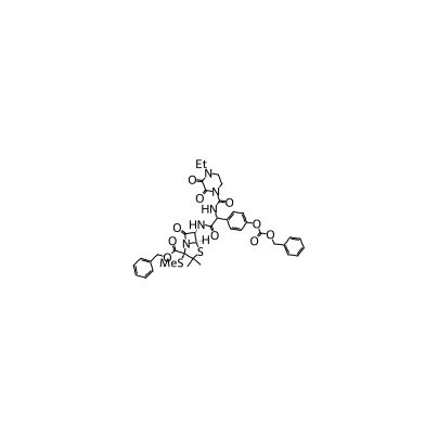 CCN1CCN(C(=O)NC(C(=O)N[C@H]2C(=O)N3[C@@H]2SC(C)(C)[C@]3(SC)C(=O)OCc2ccccc2)c2ccc(OC(=O)OCc3ccccc3)cc2)C(=O)C1=O